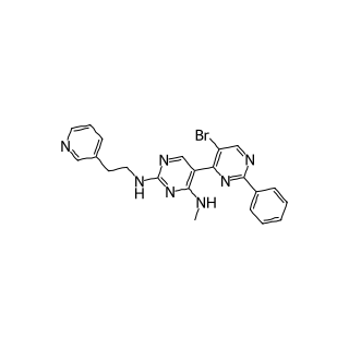 CNc1nc(NCCc2cccnc2)ncc1-c1nc(-c2ccccc2)ncc1Br